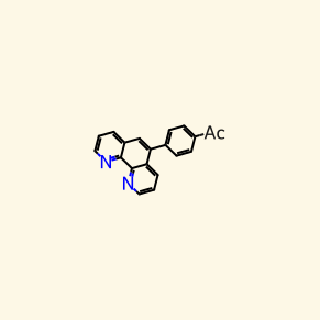 CC(=O)c1ccc(-c2cc3cccnc3c3ncccc23)cc1